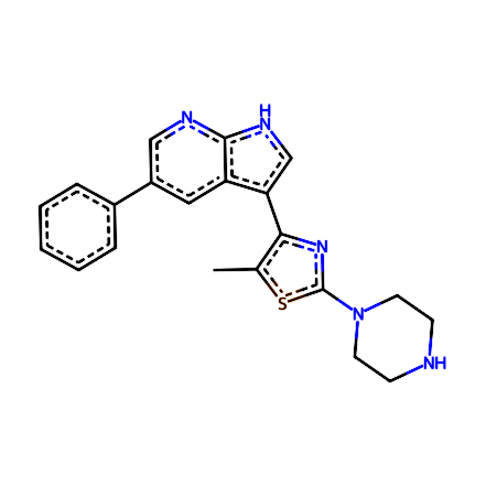 Cc1sc(N2CCNCC2)nc1-c1c[nH]c2ncc(-c3ccccc3)cc12